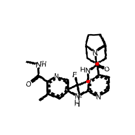 CNC(=O)c1ncc(Nc2nccc(N3CC4CCC(C3)N4C(=O)NCC(F)(F)F)n2)cc1C